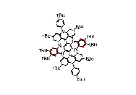 CC(C)(C)c1ccc(C2c3cc(C(C)(C)C)cc4c3B3c5c2cc(C(C)(C)C)cc5N(c2ccc(C(C)(C)C)cc2)c2c3c(c3c5c2N(c2ccc(C(C)(C)C)cc2)c2cc(C(C)(C)C)cc6c2B5c2c(cc(C(C)(C)C)cc2N3c2ccc(C(C)(C)C)cc2)N6c2ccc(C(C)(C)C)cc2)N4c2ccc(C(C)(C)C)cc2)cc1